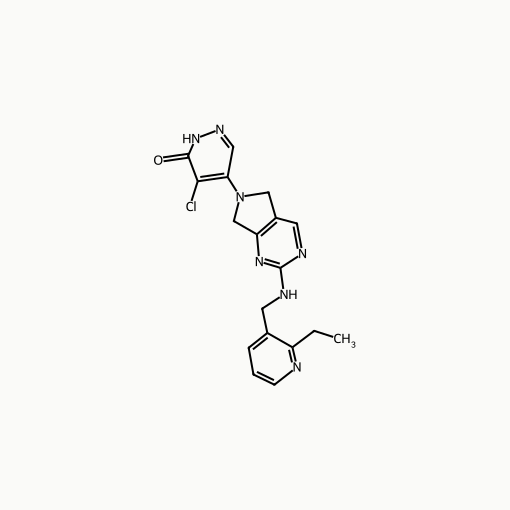 CCc1ncccc1CNc1ncc2c(n1)CN(c1cn[nH]c(=O)c1Cl)C2